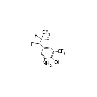 Nc1cc(C(F)C(F)(F)C(F)(F)F)cc(C(F)(F)F)c1O